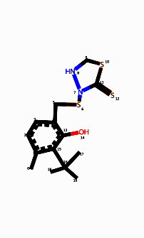 Cc1ccc(CSN2NCSC2=S)c(O)c1C(C)(C)C